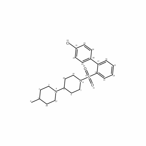 CC1CCN(C2CCN(S(=O)(=O)c3ccccc3-c3ccc(Cl)cc3)CC2)CC1